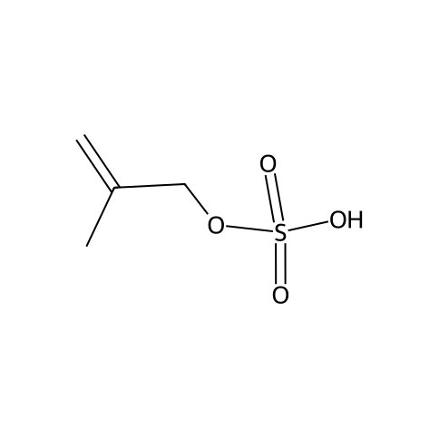 C=C(C)COS(=O)(=O)O